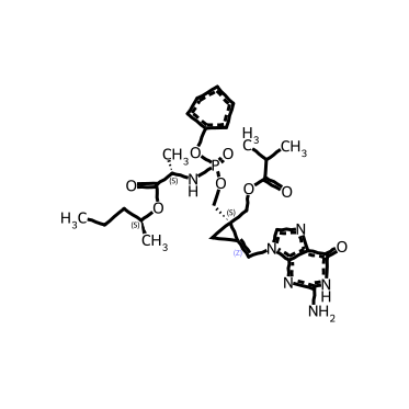 CCC[C@H](C)OC(=O)[C@H](C)NP(=O)(OC[C@@]1(COC(=O)C(C)C)C/C1=C/n1cnc2c(=O)[nH]c(N)nc21)Oc1ccccc1